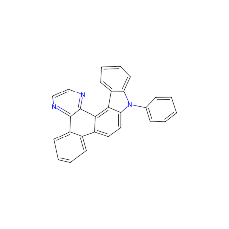 c1ccc(-n2c3ccccc3c3c4c(ccc32)c2ccccc2c2nccnc24)cc1